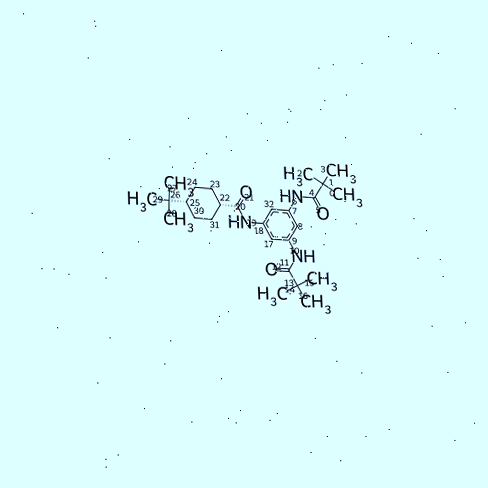 CC(C)(C)C(=O)Nc1cc(NC(=O)C(C)(C)C)cc(NC(=O)[C@H]2CC[C@@H](C(C)(C)C)CC2)c1